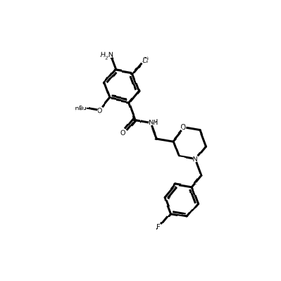 CCCCOc1cc(N)c(Cl)cc1C(=O)NCC1CN(Cc2ccc(F)cc2)CCO1